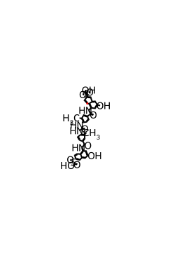 Cc1cc(C(=O)Nc2cc(O)cc3cc(S(=O)(=O)O)ccc23)ccc1NC(=O)Nc1ccc(C(=O)Nc2cc(O)cc3cc(S(=O)(=O)O)ccc23)cc1C